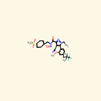 CCn1nc(C(=O)NC[C@]2(O)CC[C@@H](S(C)(=O)=O)CC2)c(C#N)c1-c1ccc(CC(C)(C)C(F)(F)F)cc1OC